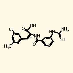 Cc1cc(Cl)cc(/C=C(/NC(=O)c2cccc(NC(=N)N)c2)C(=O)O)c1